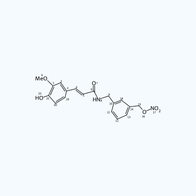 COc1cc(/C=C/C(=O)NCc2cccc(CO[N+](=O)[O-])c2)ccc1O